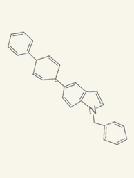 C1=CC(c2ccccc2)C=C[C]1c1ccc2c(ccn2Cc2ccccc2)c1